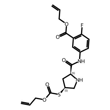 C=CCOC(=O)S[C@@H]1CN[C@H](C(=O)Nc2ccc(F)c(C(=O)OCC=C)c2)C1